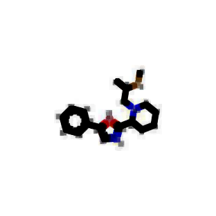 CSC(C)CN1CCCCC1c1ncc(-c2ccccc2)o1